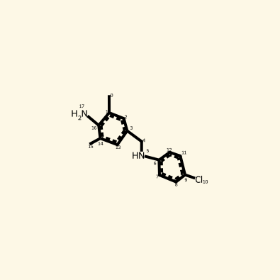 Cc1cc(CNc2ccc(Cl)cc2)cc(C)c1N